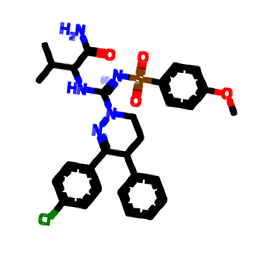 COc1ccc(S(=O)(=O)/N=C(/NC(C(N)=O)C(C)C)N2CCC(c3ccccc3)C(c3ccc(Cl)cc3)=N2)cc1